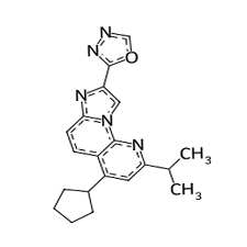 CC(C)c1cc(C2CCCC2)c2ccc3nc(-c4nnco4)cn3c2n1